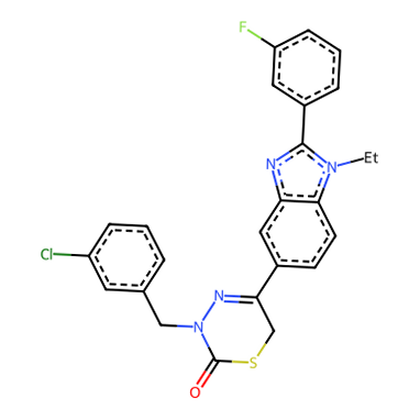 CCn1c(-c2cccc(F)c2)nc2cc(C3=NN(Cc4cccc(Cl)c4)C(=O)SC3)ccc21